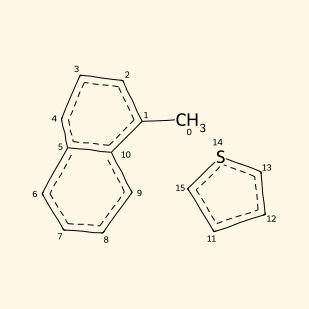 Cc1cccc2ccccc12.c1ccsc1